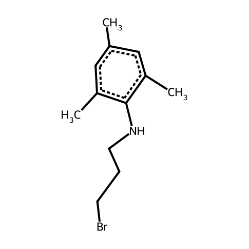 Cc1cc(C)c(NCCCBr)c(C)c1